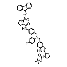 CC(C)(C)OC(=O)N1CCCC1c1nc2cc(CN(Cc3ccc(NC(=O)C4CCCN4C(=O)OCC4c5ccccc5-c5ccccc54)cc3)c3ccc(F)cc3)ccc2[nH]1